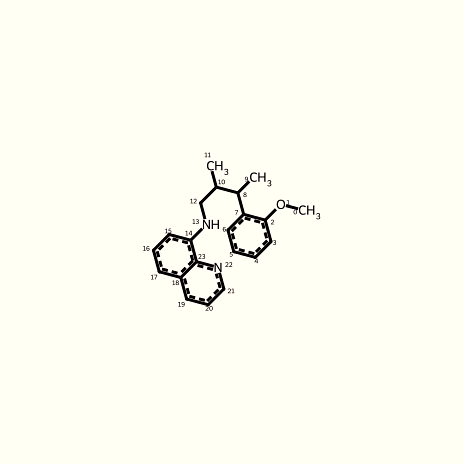 COc1ccccc1C(C)C(C)CNc1cccc2cccnc12